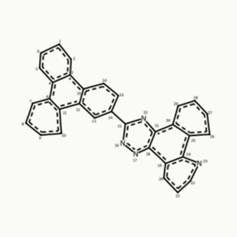 c1ccc2c(c1)c1ccccc1c1cc(-c3nnc4c5cccnc5c5ccccc5c4n3)ccc21